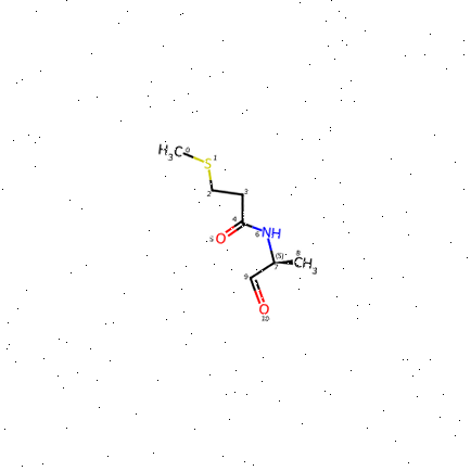 CSCCC(=O)N[C@@H](C)C=O